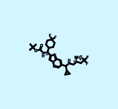 CC(C)(C)OC(=O)N[C@H](c1cn2ncc(C(NC[C@H](N)CC(F)(F)F)C3CC3)cc2n1)C1CCC(F)(F)CC1